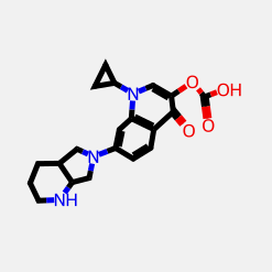 O=C(O)Oc1cn(C2CC2)c2cc(N3CC4CCCNC4C3)ccc2c1=O